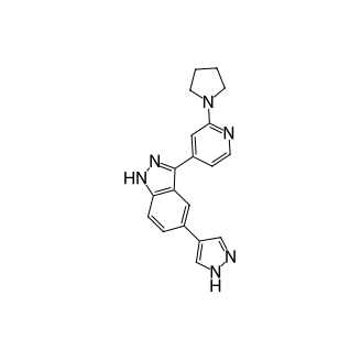 c1cc(-c2n[nH]c3ccc(-c4cn[nH]c4)cc23)cc(N2CCCC2)n1